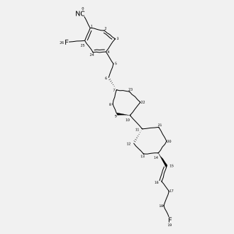 N#Cc1ccc(CC[C@H]2CC[C@H]([C@H]3CC[C@H](C=CCCF)CC3)CC2)cc1F